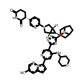 N#Cc1cnn2c(-c3cc(NC4CCOCC4)c(-c4nnc(N5CC6CCC(C5)N6C[C@H]5[C@@H]6CN(c7ccc([C@H]8CCC(=O)NC8=O)cn7)C[C@@H]65)s4)cn3)ccc2c1